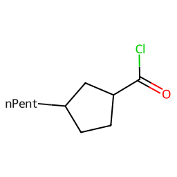 CCCCCC1CCC(C(=O)Cl)C1